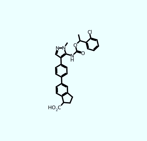 CC(OC(=O)Nc1c(-c2ccc(-c3ccc4c(c3)CCC4C(=O)O)cc2)cnn1C)c1ccccc1Cl